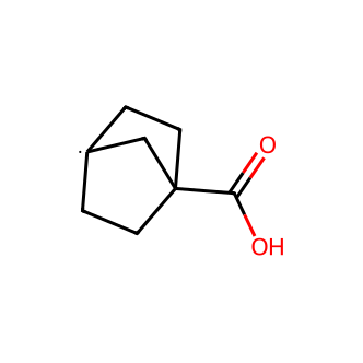 O=C(O)C12CC[C](CC1)C2